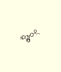 CCCC(=O)c1ccc(NCc2ccncc2-c2ccccc2)cc1